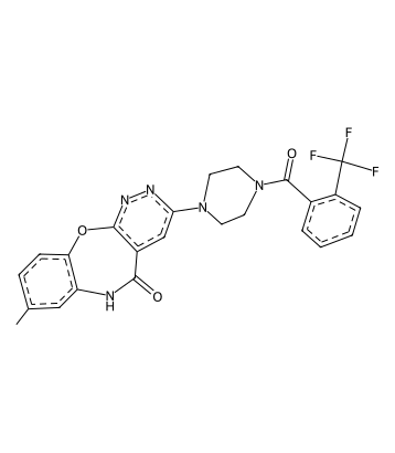 Cc1ccc2c(c1)NC(=O)c1cc(N3CCN(C(=O)c4ccccc4C(F)(F)F)CC3)nnc1O2